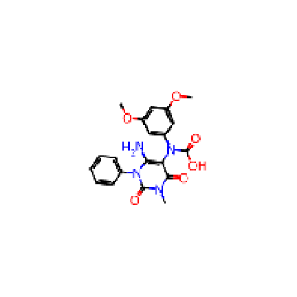 COc1cc(OC)cc(N(C(=O)O)c2c(N)n(-c3ccccc3)c(=O)n(C)c2=O)c1